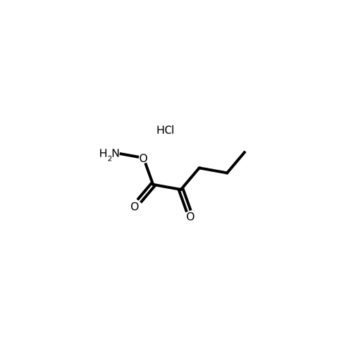 CCCC(=O)C(=O)ON.Cl